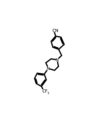 N#Cc1ccc(CN2CCN(c3cccc(C(F)(F)F)c3)CC2)cc1